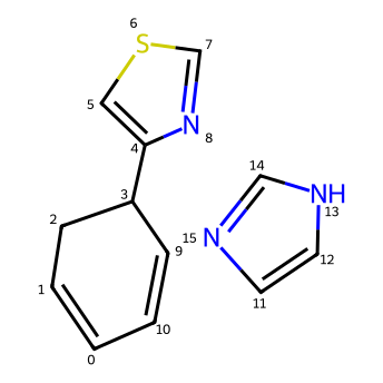 C1=CCC(c2cscn2)C=C1.c1c[nH]cn1